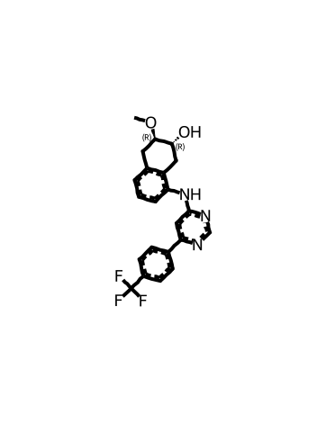 CO[C@@H]1Cc2cccc(Nc3cc(-c4ccc(C(F)(F)F)cc4)ncn3)c2C[C@H]1O